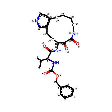 CC(C)C(NC(=O)OCc1ccccc1)C(=O)NC1CCc2cnccc2CCCCNC(=O)C1=O